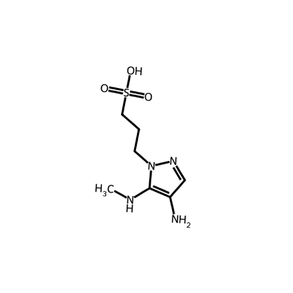 CNc1c(N)cnn1CCCS(=O)(=O)O